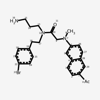 CC(=O)c1ccc2cc(N(C)CC(=O)N(CCCN)CCc3ccc(Br)cc3)ccc2c1